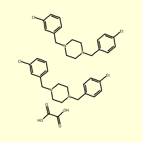 CCc1ccc(CN2CCN(Cc3cccc(Cl)c3)CC2)cc1.CCc1ccc(CN2CCN(Cc3cccc(Cl)c3)CC2)cc1.O=C(O)C(=O)O